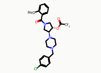 COc1ccccc1C(=O)N1C[C@H](OC(=O)C(F)(F)F)[C@@H](N2CCN(Cc3ccc(Cl)cc3)CC2)C1